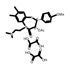 COc1ccc([C@H]2Sc3cc(C)c(C)cc3N(CCN(C)C)C(=O)[C@H]2OC(C)=O)cc1.O=C(O)C(=O)O.O=C(O)C(=O)O